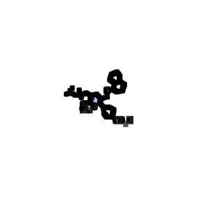 CN(C)CC(C)(C)CN(C/C(=C/c1ccc(C(=O)O)cc1)COc1cccc2ccccc12)C(=O)OC(C)(C)C